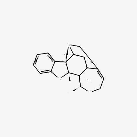 O[C@@H]1OCC=C2CN3CC[C@]45c6ccccc6N[C@H]4[C@H]1[C@H]2C[C@H]35